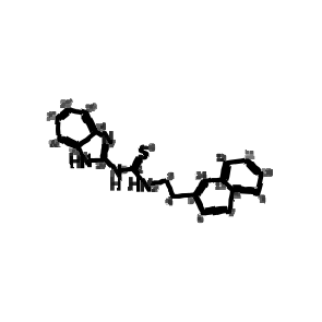 S=C(NCCc1ccc2ccccc2c1)Nc1nc2ccccc2[nH]1